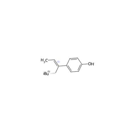 C/C=C(\C[C@@H](C)CC)c1ccc(O)cc1